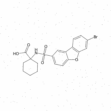 O=C(O)C1(NS(=O)(=O)c2ccc3oc4cc(Br)ccc4c3c2)CCCCC1